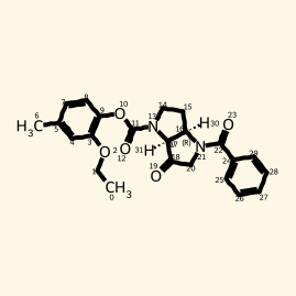 CCOc1cc(C)ccc1OC(=O)N1CC[C@@H]2[C@H]1C(=O)CN2C(=O)c1ccccc1